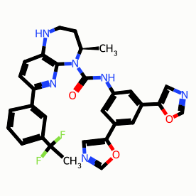 C[C@@H]1CCNc2ccc(-c3cccc(C(C)(F)F)c3)nc2N1C(=O)Nc1cc(-c2cnco2)cc(-c2cnco2)c1